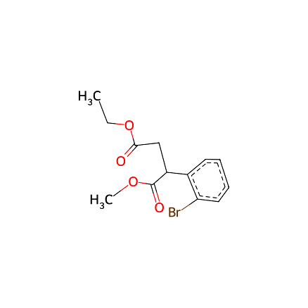 CCOC(=O)CC(C(=O)OC)c1ccccc1Br